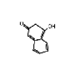 O=C1C=c2ccccc2=C(O)C1